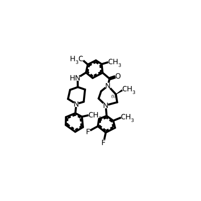 Cc1cc(C)c(C(=O)N2CCN(c3cc(F)c(F)cc3C)C[C@@H]2C)cc1NC1CCN(c2ccccc2C)CC1